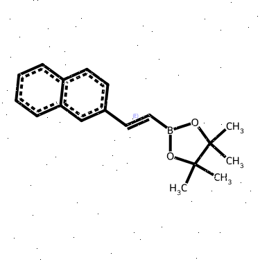 CC1(C)OB(/C=C/c2ccc3ccccc3c2)OC1(C)C